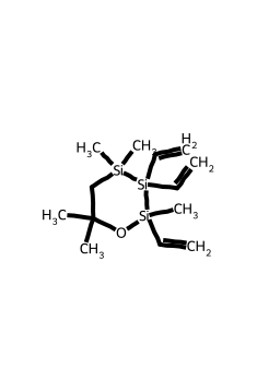 C=C[Si]1(C)OC(C)(C)C[Si](C)(C)[Si]1(C=C)C=C